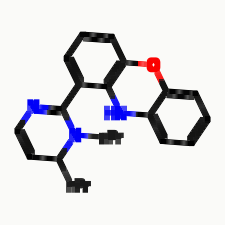 CCCC1C=CN=C(c2cccc3c2Nc2ccccc2O3)N1CCC